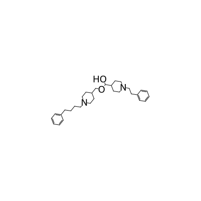 OC(OCC1CCN(CCCCc2ccccc2)CC1)C1CCN(CCc2ccccc2)CC1